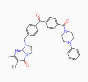 CCc1c(C)nc2n(Cc3ccc(C(=O)c4ccc(C(=O)N5CCN(c6ccccc6)CC5)cc4)cc3)ccn2c1=O